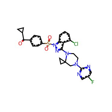 O=C(c1ccc(S(=O)(=O)n2nc(N3CCN(c4ncc(F)cn4)CC34CC4)c3c(Cl)cccc32)cc1)C1CC1